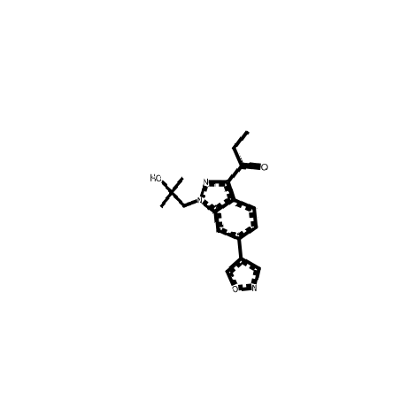 CCC(=O)c1nn(CC(C)(C)O)c2cc(-c3cnoc3)ccc12